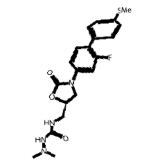 CSc1ccc(-c2ccc(N3C[C@@H](CNC(=O)NN(C)C)OC3=O)cc2F)cc1